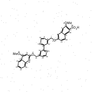 COc1cc2cc(OCc3ccnc(-c4cc(COc5cc(OC)c6ccccc6n5)ccn4)c3)ccc2cc1S(=O)(=O)O